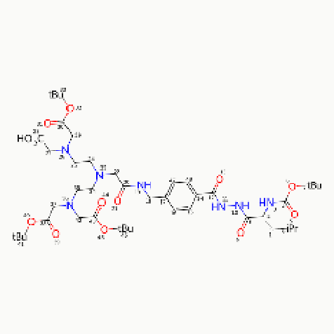 CC(C)C[C@@H](NC(=O)OC(C)(C)C)C(=O)NNC(=O)c1ccc(CNC(=O)CN(CCN(CC(=O)O)CC(=O)OC(C)(C)C)CCN(CC(=O)OC(C)(C)C)CC(=O)OC(C)(C)C)cc1